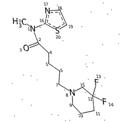 CN(C(=O)CCCCN1CCCC(F)(F)C1)c1nccs1